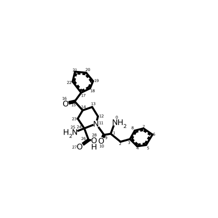 NC(Cc1ccccc1)C(=O)N1CCC(C(=O)c2ccccc2)CC1(N)C(=O)O